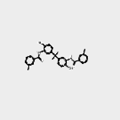 Cc1cccc(C(=O)Nc2cc(C(C)(C)c3ccc(O)c(NC(=O)c4cccc(C)c4)c3)ccc2O)c1